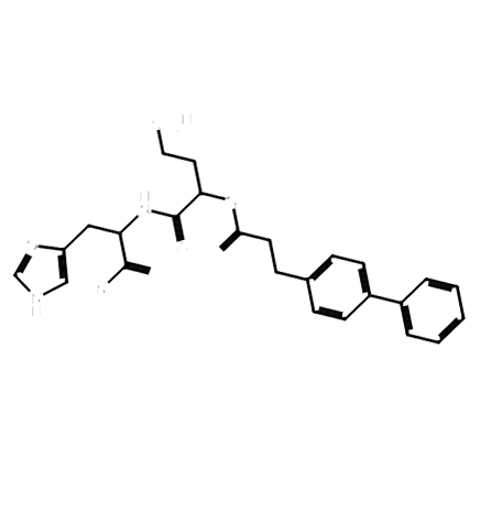 NC(=O)C(Cc1c[nH]cn1)NC(=O)C(CCC(=O)O)NC(=O)CCc1ccc(-c2ccccc2)cc1